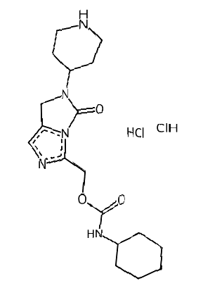 Cl.Cl.O=C(NC1CCCCC1)OCc1ncc2n1C(=O)N(C1CCNCC1)C2